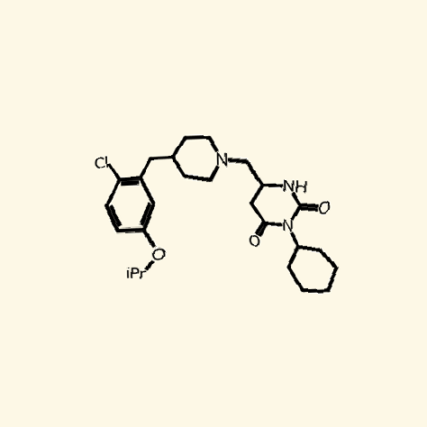 CC(C)Oc1ccc(Cl)c(CC2CCN(CC3CC(=O)N(C4CCCCC4)C(=O)N3)CC2)c1